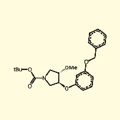 CO[C@H]1CN(C(=O)OC(C)(C)C)C[C@@H]1Oc1cccc(OCc2ccccc2)c1